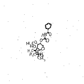 C=C(C)[C@@]1(O)[C@H](OC)[C@H](OC(=O)NC(=O)c2ccccc2)CO[C@]12COC(C)(C)O2